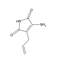 C=CCC1=C([SiH3])C(=O)NC1=O